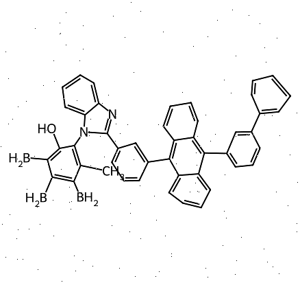 Bc1c(B)c(C)c(-n2c(-c3cccc(-c4c5ccccc5c(-c5cccc(-c6ccccc6)c5)c5ccccc45)c3)nc3ccccc32)c(O)c1B